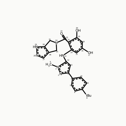 Cn1nc(-c2ccc(C(C)(C)C)cc2)cc1Nc1cc(O)cc(O)c1C(=O)N1Cc2cn[nH]c2C1